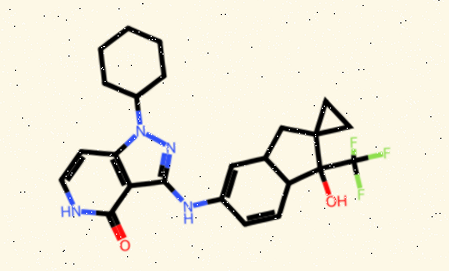 O=c1[nH]ccc2c1c(NC1=CC3CC4(CC4)C(O)(C(F)(F)F)C3C=C1)nn2C1CCCCC1